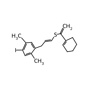 C=C(S/C=C/Cc1cc(C)c(I)cc1C)C1=CCCCC1